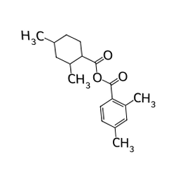 Cc1ccc(C(=O)OC(=O)C2CCC(C)CC2C)c(C)c1